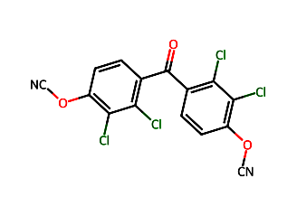 N#COc1ccc(C(=O)c2ccc(OC#N)c(Cl)c2Cl)c(Cl)c1Cl